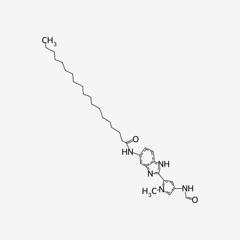 CCCCCCCCCCCCCCCCCCC(=O)Nc1ccc2[nH]c(-c3cc(NC=O)cn3C)nc2c1